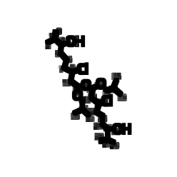 C=C(C)C(O)CCCC(Cl)CC(OCC(C)C)OC(CC(Cl)CCCC(O)C(=C)C)OCC(C)C